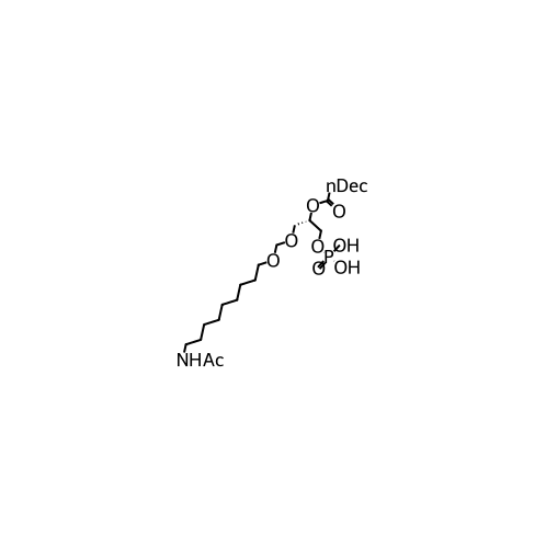 CCCCCCCCCCC(=O)O[C@@H](COCOCCCCCCCCCNC(C)=O)COP(=O)(O)O